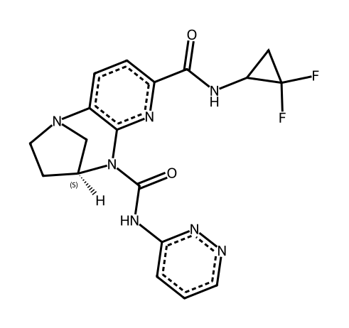 O=C(NC1CC1(F)F)c1ccc2c(n1)N(C(=O)Nc1cccnn1)[C@H]1CCN2C1